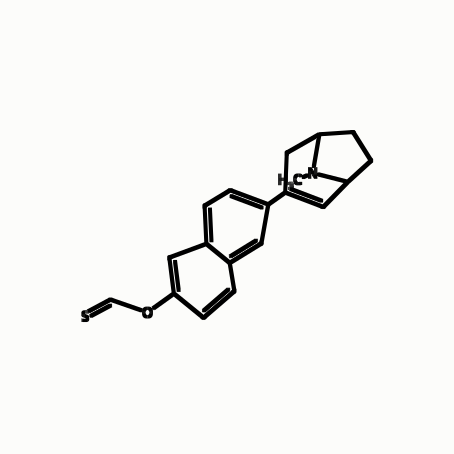 CN1C2C=C(c3ccc4cc(OC=S)ccc4c3)CC1CC2